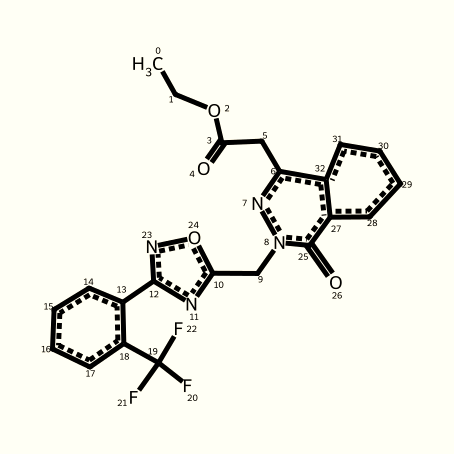 CCOC(=O)Cc1nn(Cc2nc(-c3ccccc3C(F)(F)F)no2)c(=O)c2ccccc12